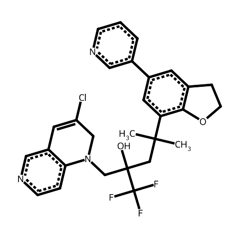 CC(C)(CC(O)(CN1CC(Cl)=Cc2cnccc21)C(F)(F)F)c1cc(-c2cccnc2)cc2c1OCC2